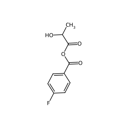 CC(O)C(=O)OC(=O)c1ccc(F)cc1